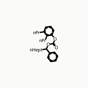 CCCCCCCC(OC(=O)Oc1cccc(CCC)c1CCC)c1ccccc1